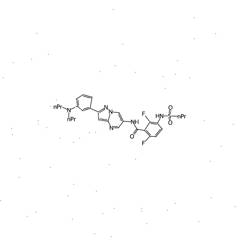 CCCN(CCC)c1cccc(-c2cc3ncc(NC(=O)c4c(F)ccc(NS(=O)(=O)CCC)c4F)cn3n2)c1